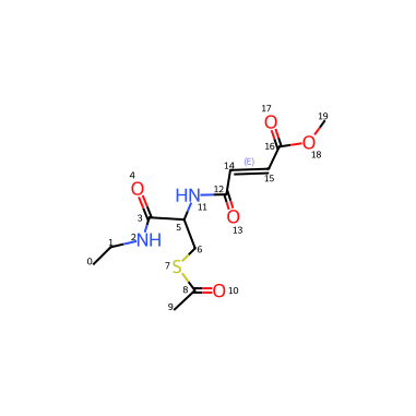 CCNC(=O)C(CSC(C)=O)NC(=O)/C=C/C(=O)OC